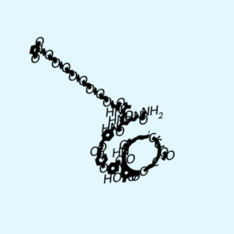 CC(=O)O[C@@H]1[C@H](C)C/C=C/O[C@@]2(C)Oc3c(C)c(O)c4c(=O)c(c5oc6cc(OC7CCN(C(=O)OCc8ccc(NC(=O)C(CCCNC(N)=O)NC(=O)[C@@H](NC(=O)CCOCCOCCOCCOCCOCCOCCOCCOCCN9C(=O)C=CC9=O)C(C)C)cc8)CC7)ccc6nc-5c4c3C2=O)NC(=O)/C(C)=C\C=C\[C@H](C)C[C@@H](C)C[C@H]1C